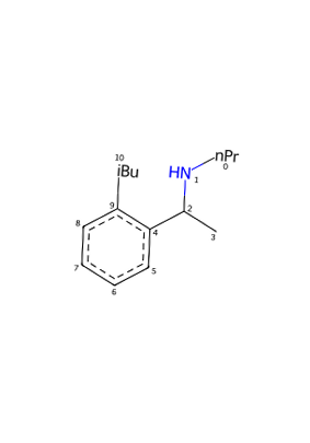 CCCNC(C)c1ccccc1C(C)CC